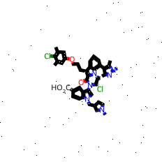 Cc1cc(OCCCc2c3n(c4c(-c5c(C)nn(C)c5C)cccc24)C(C)[C@@H](Cl)N(c2cn(CC4CCN(C)C4)c4ccc(C(=O)O)cc24)C3=O)cc(C)c1Cl